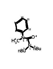 CCCCN(CCCC)C(=O)N(C)c1ccccc1